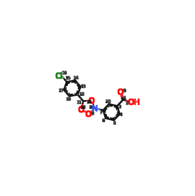 O=C(O)c1cccc(N2OOC(c3ccc(Cl)cc3)O2)c1